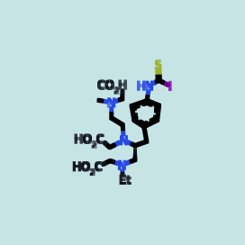 CCN(CC(=O)O)C[C@H](Cc1ccc(NC(=S)I)cc1)N(CCN(C)CC(=O)O)CC(=O)O